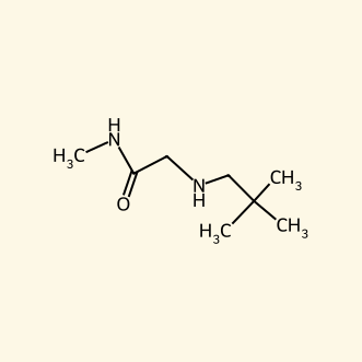 CNC(=O)CNCC(C)(C)C